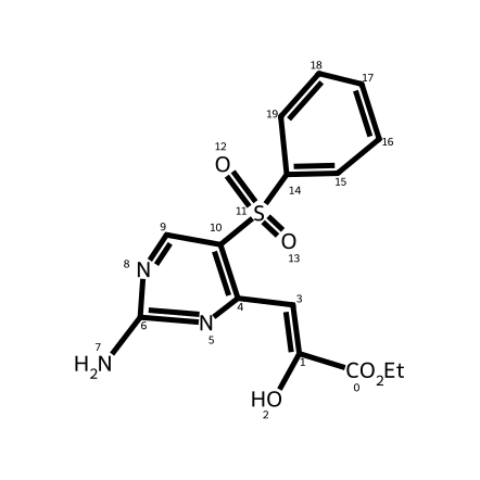 CCOC(=O)C(O)=Cc1nc(N)ncc1S(=O)(=O)c1ccccc1